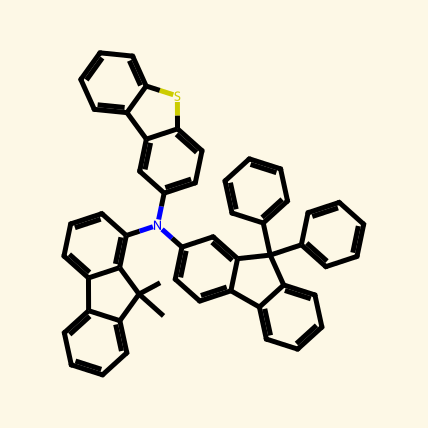 CC1(C)c2ccccc2-c2cccc(N(c3ccc4c(c3)C(c3ccccc3)(c3ccccc3)c3ccccc3-4)c3ccc4sc5ccccc5c4c3)c21